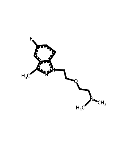 Cc1nn(CCOCCN(C)C)c2ccc(F)cc12